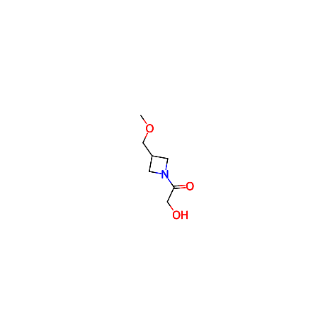 COCC1CN(C(=O)CO)C1